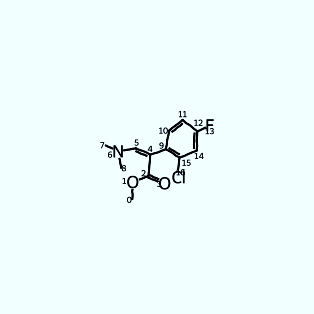 COC(=O)C(=CN(C)C)c1ccc(F)cc1Cl